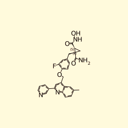 Cc1ccc2nc(-c3cccnc3)cc(COc3ccc(C[C@]4(C(N)=O)C[C@@H]4C(=O)NO)cc3F)c2c1